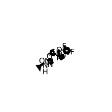 O=C(Nc1nccc(O[C@@H]2CCN(C(=O)N3N=CC[C@H]3c3cc(F)cc(F)c3)C2)n1)C1CC1